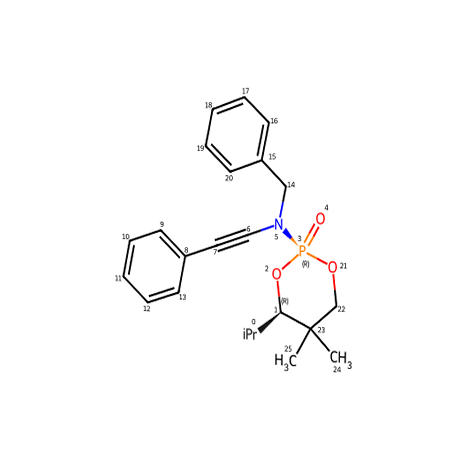 CC(C)[C@H]1O[P@@](=O)(N(C#Cc2ccccc2)Cc2ccccc2)OCC1(C)C